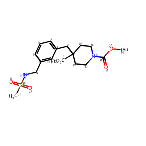 CCOC(=O)C1(Cc2cccc(CNS(C)(=O)=O)c2)CCN(C(=O)OC(C)(C)C)CC1